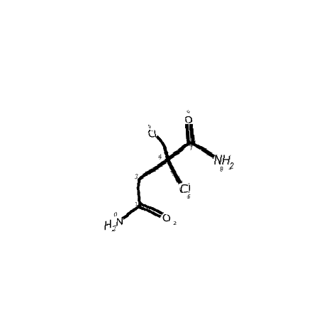 NC(=O)CC(Cl)(Cl)C(N)=O